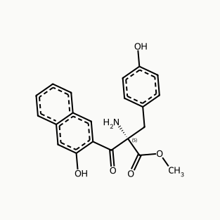 COC(=O)[C@](N)(Cc1ccc(O)cc1)C(=O)c1cc2ccccc2cc1O